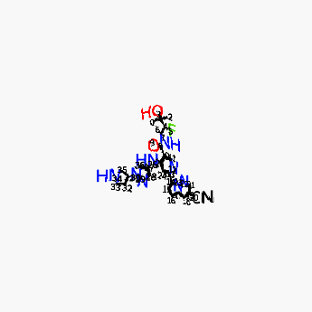 CC(C)(O)[C@H](F)CNC(=O)c1cnc(-c2ccc3cc(C#N)cnn23)cc1Nc1cnn([C@@H]2CCNC2)c1